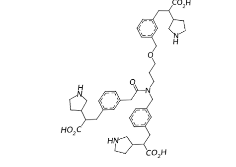 O=C(O)C(Cc1cccc(COCCCN(Cc2cccc(CC(C(=O)O)C3CCNC3)c2)C(=O)Cc2cccc(CC(C(=O)O)C3CCNC3)c2)c1)C1CCNC1